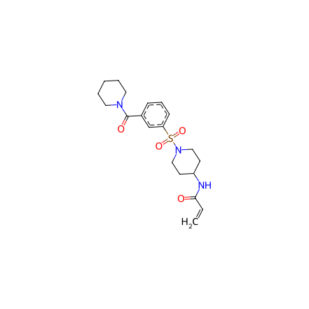 C=CC(=O)NC1CCN(S(=O)(=O)c2cccc(C(=O)N3CCCCC3)c2)CC1